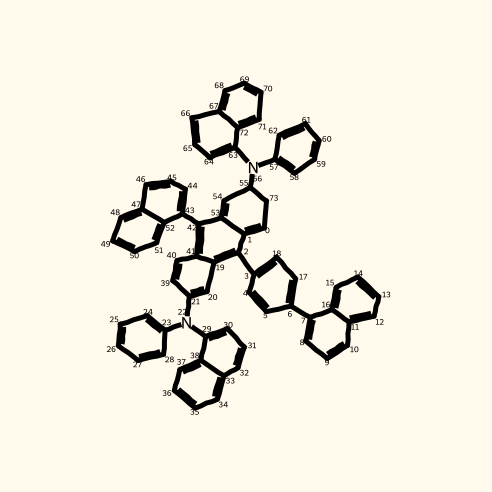 C1=c2c(-c3ccc(-c4cccc5ccccc45)cc3)c3cc(N(c4ccccc4)c4cccc5ccccc45)ccc3c(-c3cccc4ccccc34)c2=CC(N(c2ccccc2)c2cccc3ccccc23)C1